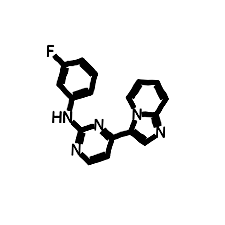 Fc1cccc(Nc2nccc(-c3cnc4ccccn34)n2)c1